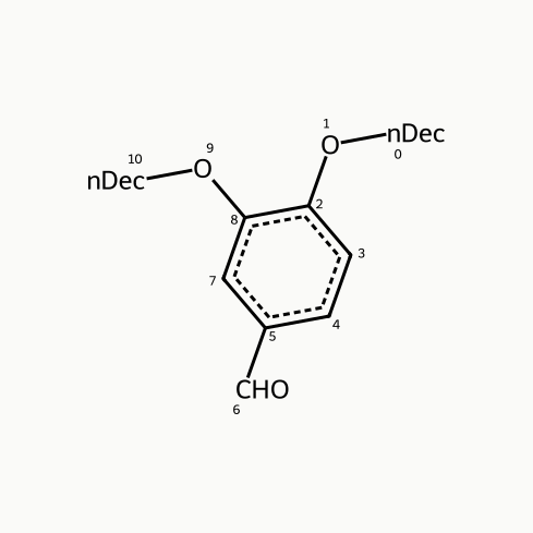 CCCCCCCCCCOc1ccc(C=O)cc1OCCCCCCCCCC